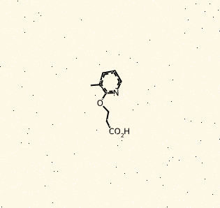 Cc1cccnc1OCCC(=O)O